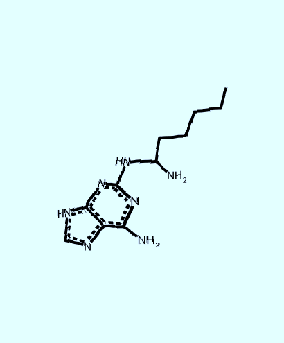 CCCCCC(N)Nc1nc(N)c2nc[nH]c2n1